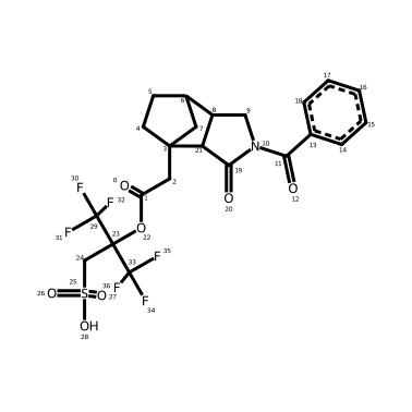 O=C(CC12CCC(C1)C1CN(C(=O)c3ccccc3)C(=O)C12)OC(CS(=O)(=O)O)(C(F)(F)F)C(F)(F)F